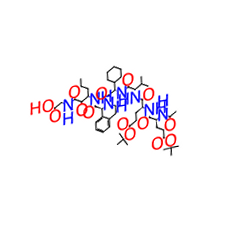 CCCC(NC(=O)[C@@H]1c2ccccc2CCN1C(=O)[C@@H](NC(=O)[C@@H](NC(=O)[C@H](CCC(=O)OC(C)(C)C)NC(=O)[C@H](CCC(=O)OC(C)(C)C)NC(C)=O)C(C)C)C1CCCCC1)C(=O)C(=O)NCC(=O)O